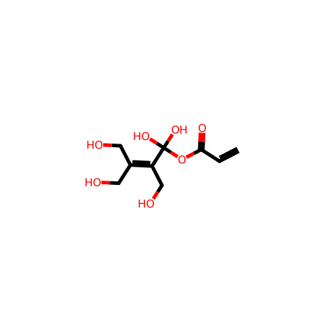 C=CC(=O)OC(O)(O)C(CO)=C(CO)CO